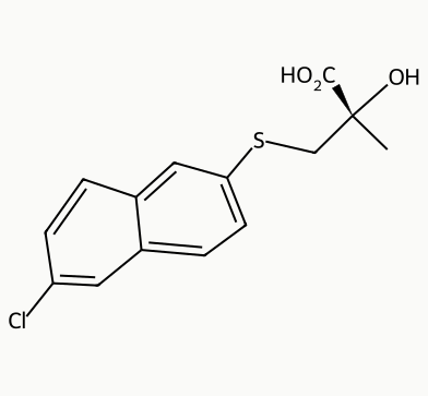 C[C@@](O)(CSc1ccc2cc(Cl)ccc2c1)C(=O)O